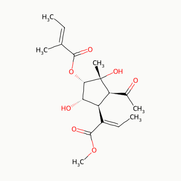 C/C=C(\C)C(=O)O[C@H]1[C@@H](O)[C@H](/C(=C\C)C(=O)OC)[C@H](C(C)=O)[C@@]1(C)O